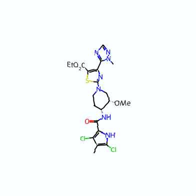 CCOC(=O)c1sc(N2CC[C@@H](NC(=O)c3[nH]c(Cl)c(C)c3Cl)[C@@H](OC)C2)nc1-c1ncnn1C